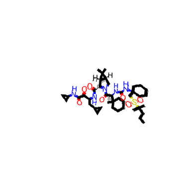 CCCC(C)(C)S(=O)(=O)CC1(NC(=O)N[C@H](C(=O)N2C[C@H]3[C@@H]([C@H]2C(=O)NC(CC2CC2)C(=O)C(=O)NC2CC2)C3(C)C)C2(C)CCCCC2)CCCCC1